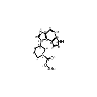 CC(C)(C)OC(=O)N1CCC[C@@H](n2cnc3cnc4[nH]ccc4c32)C1